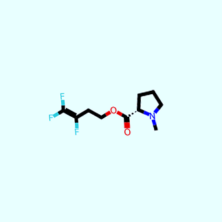 CN1CCC[C@H]1C(=O)OCCC(F)=C(F)F